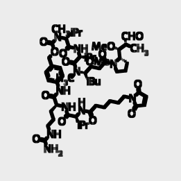 CC[C@H](C)[C@@H]([C@@H](CC(=O)N1CCC[C@H]1[C@H](OC)[C@@H](C)C=O)OC)N(C)C(=O)[C@@H](NC(=O)[C@H](C(C)C)N(C)C(=O)OCc1ccc(NC(=O)[C@H](CCCNC(N)=O)NC(=O)[C@@H](NC(=O)CCCCCN2C(=O)C=CC2=O)C(C)C)cc1)C(C)C